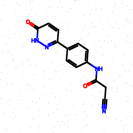 N#CCC(=O)Nc1ccc(-c2ccc(=O)[nH]n2)cc1